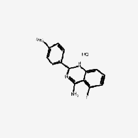 CSc1ccc(C2N=C(N)c3c(F)cccc3N2)cc1.Cl